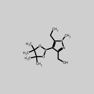 CCc1c(B2OC(C)(C)C(C)(C)O2)c(CO)nn1C